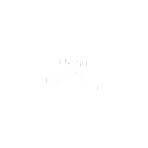 N.N.[SiH3]O[SiH3]